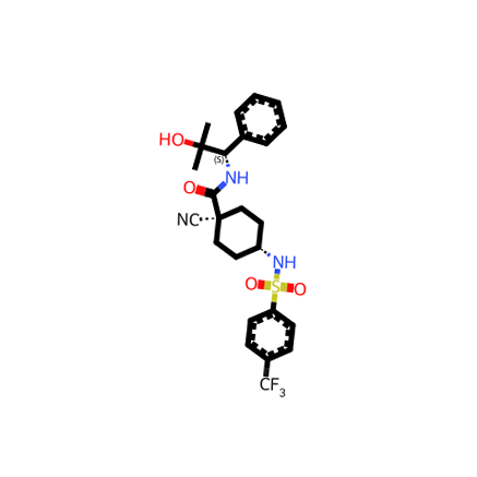 CC(C)(O)[C@@H](NC(=O)[C@]1(C#N)CC[C@@H](NS(=O)(=O)c2ccc(C(F)(F)F)cc2)CC1)c1ccccc1